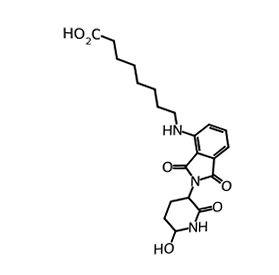 O=C(O)CCCCCCCNc1cccc2c1C(=O)N(C1CCC(O)NC1=O)C2=O